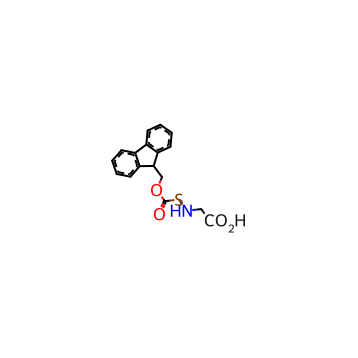 O=C(O)CNSC(=O)OCC1c2ccccc2-c2ccccc21